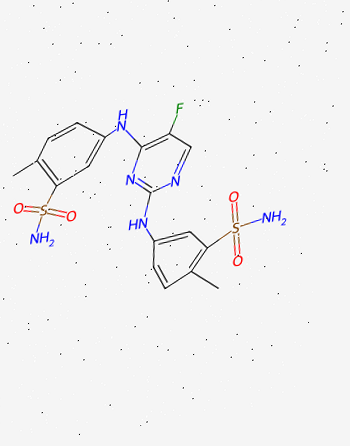 Cc1ccc(Nc2ncc(F)c(Nc3ccc(C)c(S(N)(=O)=O)c3)n2)cc1S(N)(=O)=O